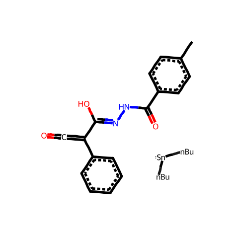 CCC[CH2][Sn][CH2]CCC.Cc1ccc(C(=O)NN=C(O)C(=C=O)c2ccccc2)cc1